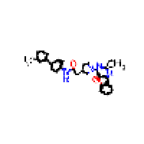 Cc1cccc(-c2ccc(NC(=O)C[C@H]3CCN(c4nc(C)nc5c4oc4ccccc45)C3)cc2)c1